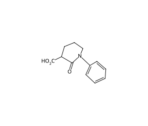 O=C(O)C1CCCN(c2ccccc2)C1=O